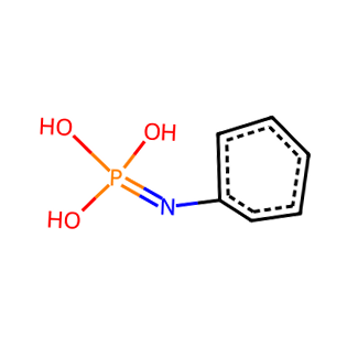 OP(O)(O)=Nc1ccccc1